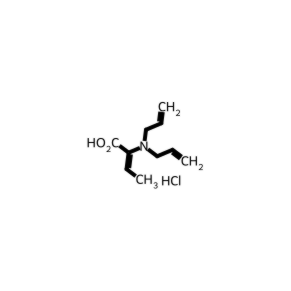 C=CCN(CC=C)C(=CC)C(=O)O.Cl